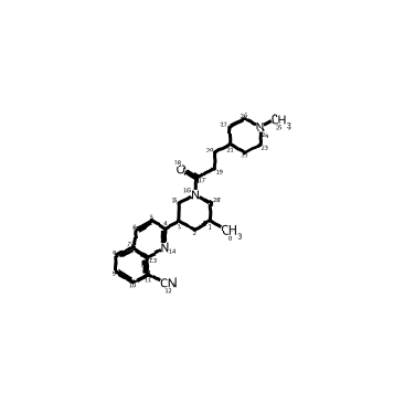 CC1CC(c2ccc3cccc(C#N)c3n2)CN(C(=O)CCC2CCN(C)CC2)C1